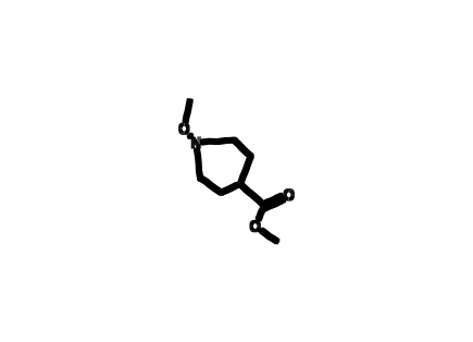 COC(=O)[C]1CCN(OC)CC1